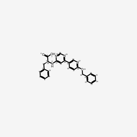 O=C(O)[C@H](Cc1ccccc1)Nc1cc(-c2ccc(OCc3ccccc3)nc2)ncn1